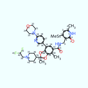 CSc1cc(C)[nH]c(=O)c1CNC(=O)c1cc(-c2ccc(N3CCOCC3)nc2)c2c(c1C)O[C@@](C)(C1CCN(CC(F)F)CC1)O2